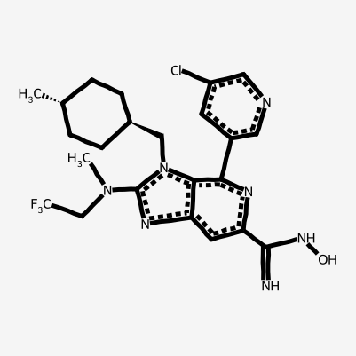 CN(CC(F)(F)F)c1nc2cc(C(=N)NO)nc(-c3cncc(Cl)c3)c2n1C[C@H]1CC[C@H](C)CC1